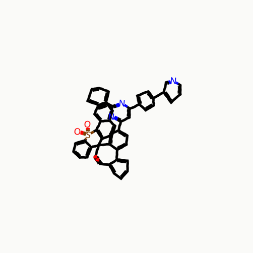 O=S1(=O)c2ccccc2C2(c3ccccc3-c3ccccc3-c3ccc(-c4cc(-c5ccc(-c6cccnc6)cc5)nc(-c5ccccc5)n4)cc32)c2ccc3ccccc3c21